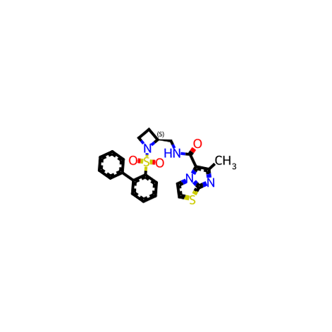 Cc1nc2sccn2c1C(=O)NC[C@@H]1CCN1S(=O)(=O)c1ccccc1-c1ccccc1